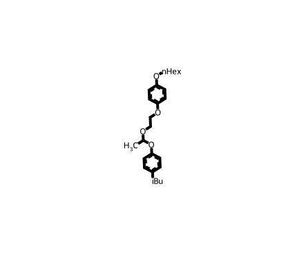 CCCCCCOc1ccc(OCCOC(C)Oc2ccc(C(C)CC)cc2)cc1